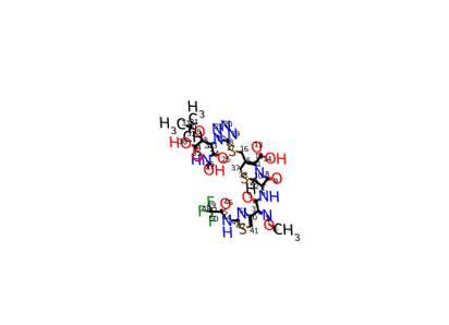 CON=C(C(=O)NC1C(=O)N2C(C(=O)O)=C(CSc3nnnn3C(C(=O)NO)C(OC(C)(C)C)C(=O)O)CS[C@@H]12)c1csc(NC(=O)C(F)(F)F)n1